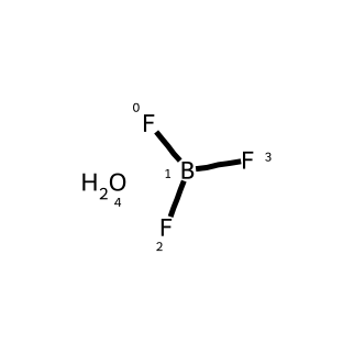 FB(F)F.O